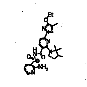 CCOc1nn(-c2ccc(C(=O)NS(=O)(=O)c3cccnc3N)c(N3CCC(C)C3(C)C)n2)cc1C